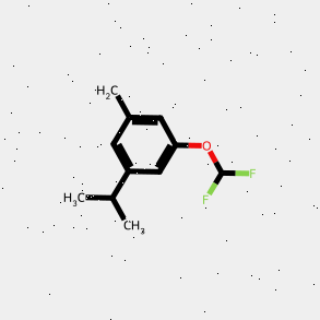 [CH2]c1cc(OC(F)F)cc(C(C)C)c1